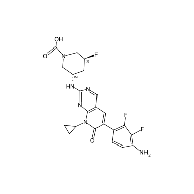 Nc1ccc(-c2cc3cnc(N[C@H]4C[C@H](F)CN(C(=O)O)C4)nc3n(C3CC3)c2=O)c(F)c1F